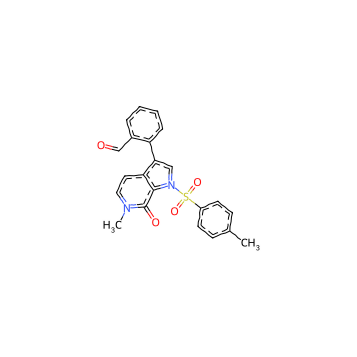 Cc1ccc(S(=O)(=O)n2cc(-c3ccccc3C=O)c3ccn(C)c(=O)c32)cc1